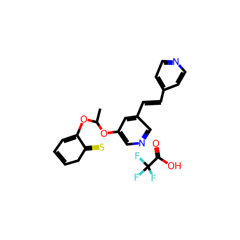 CC(OC1=CC=CCC1=S)Oc1cncc(C=Cc2ccncc2)c1.O=C(O)C(F)(F)F